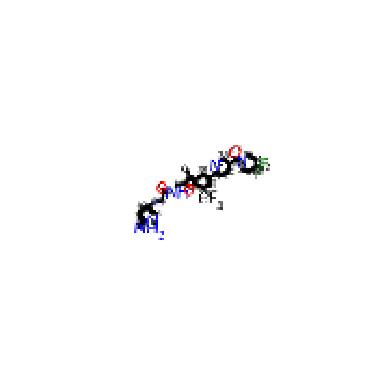 Cc1c(CNC(=O)/C=C/c2ccc(N)nc2)oc2c(C(F)(F)F)cc(-c3ccc(C(=O)N4CCC(F)(F)CC4)cn3)cc12